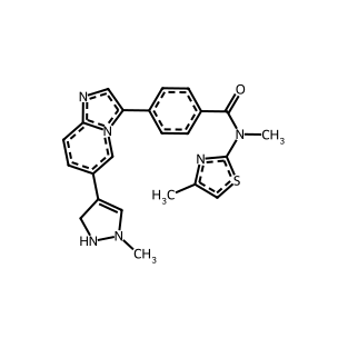 Cc1csc(N(C)C(=O)c2ccc(-c3cnc4ccc(C5=CN(C)NC5)cn34)cc2)n1